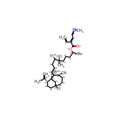 C=C/C(=C\C=N/C)C(=O)OC(CCCC(C)(CC)C(CC)CCCC1[C@@H]2CC(CC)(CCC[C@@]1(C#N)[C@H](C)CC)CC[C@H]2C(=C)C)C(C)(C)C